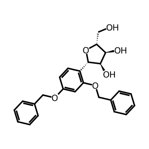 OC[C@H]1O[C@@H](c2ccc(OCc3ccccc3)cc2OCc2ccccc2)[C@H](O)[C@@H]1O